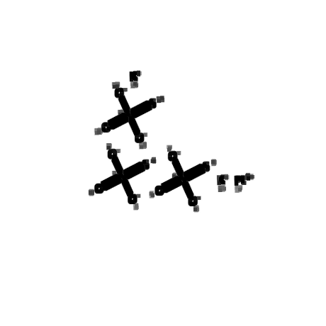 O=S([O-])([O-])=S.O=S([O-])([O-])=S.O=S([O-])([O-])=S.[K+].[K+].[Pt+4]